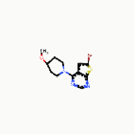 COC1CCN(c2ncnc3sc(Br)cc23)CC1